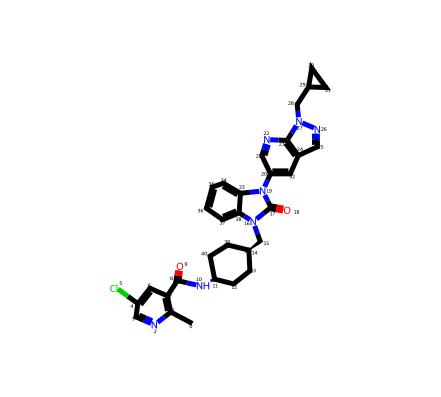 Cc1ncc(Cl)cc1C(=O)N[C@H]1CC[C@H](Cn2c(=O)n(-c3cnc4c(cnn4CC4CC4)c3)c3ccccc32)CC1